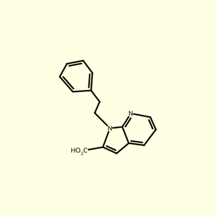 O=C(O)c1cc2cccnc2n1CCc1ccccc1